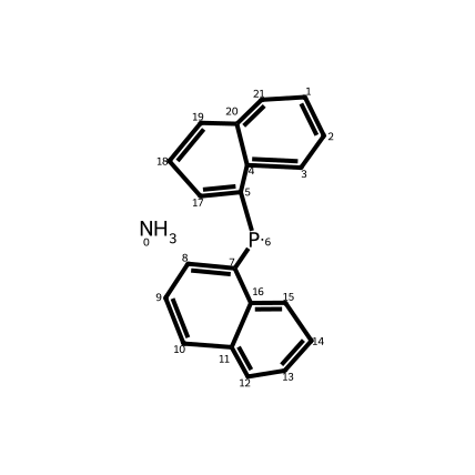 N.c1ccc2c([P]c3cccc4ccccc34)cccc2c1